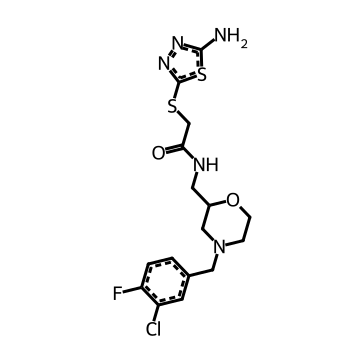 Nc1nnc(SCC(=O)NCC2CN(Cc3ccc(F)c(Cl)c3)CCO2)s1